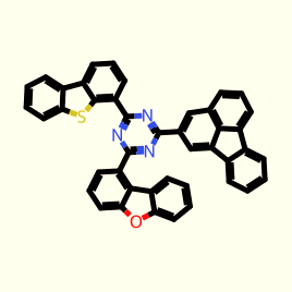 c1ccc2c(c1)-c1cccc3cc(-c4nc(-c5cccc6c5sc5ccccc56)nc(-c5cccc6oc7ccccc7c56)n4)cc-2c13